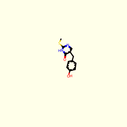 CSc1ncc(Cc2ccc(O)cc2)c(=O)[nH]1